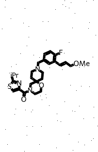 COC/C=C/c1cc(CN2CCC3(CC2)CN(C(=O)c2csc(C(C)C)n2)CCO3)ccc1F